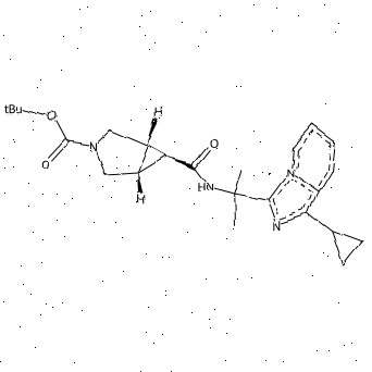 CC(C)(C)OC(=O)N1C[C@@H]2[C@H](C1)[C@H]2C(=O)NC(C)(C)c1nc(C2CC2)c2ccccn12